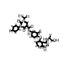 CCC(CC)n1cc(C(=O)Nc2ccc(Oc3ccnc4[nH]nc(NC(C)CO)c34)c(F)c2)c(=O)n(-c2ccc(F)cc2)c1=O